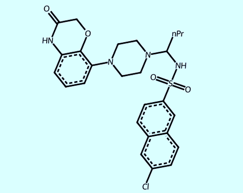 CCCC(NS(=O)(=O)c1ccc2cc(Cl)ccc2c1)N1CCN(c2cccc3c2OCC(=O)N3)CC1